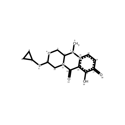 CN1C2COC(SC3CC3)CN2C(=O)c2c(O)c(=O)ccn21